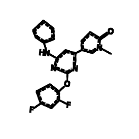 Cn1cc(-c2cc(Nc3ccccc3)nc(Oc3ccc(F)cc3F)n2)ccc1=O